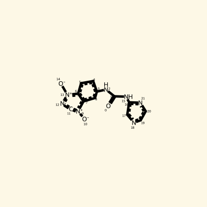 O=C(Nc1ccc2c(c1)[n+]([O-])cn[n+]2[O-])Nc1cnccn1